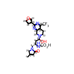 CC1=CC(=O)N(C[C@H](CC(O)N2CCc3c(nc(-c4ccoc4)nc3C(F)(F)F)C2)NC(=O)O)C1